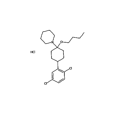 CCCCOC1(N2CCCCC2)CCC(c2cc(Cl)ccc2Cl)CC1.Cl